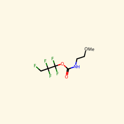 COCCNC(=O)OC(F)(F)C(F)(F)CF